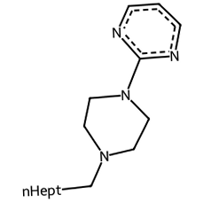 CCCCCCCCN1CCN(c2ncccn2)CC1